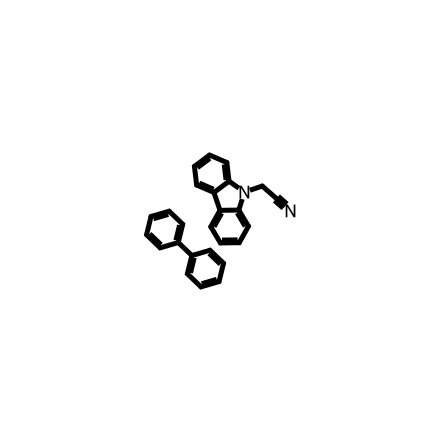 N#CCn1c2ccccc2c2ccccc21.c1ccc(-c2ccccc2)cc1